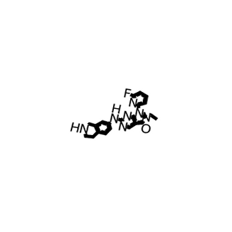 CCn1c(=O)c2cnc(Nc3ccc4c(c3)CNCC4)nc2n1-c1cccc(F)n1